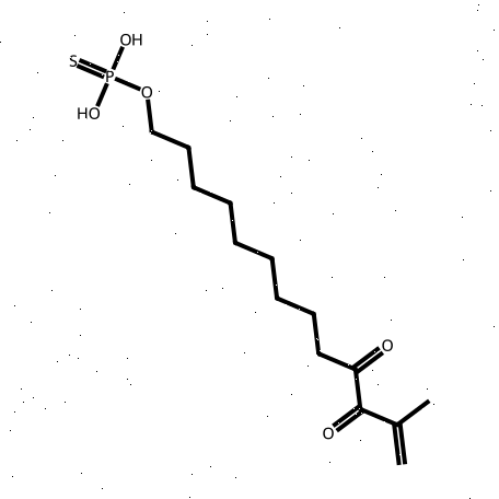 C=C(C)C(=O)C(=O)CCCCCCCCCOP(O)(O)=S